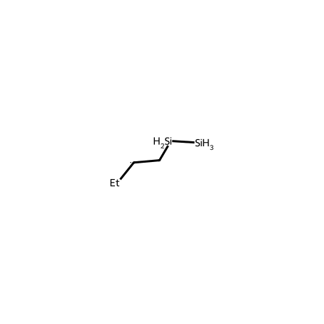 CC[CH]C[SiH2][SiH3]